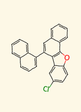 Clc1ccc2oc3c4ccccc4cc(-c4cccc5ccccc45)c3c2c1